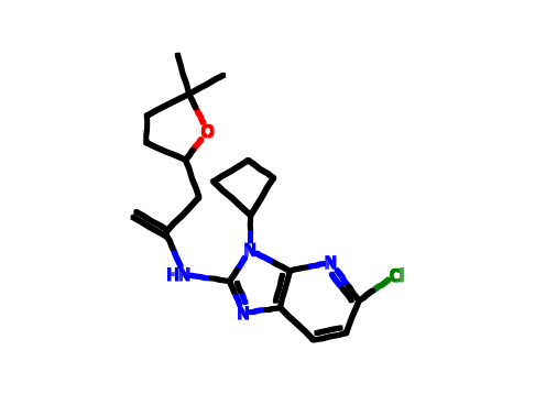 C=C(CC1CCC(C)(C)O1)Nc1nc2ccc(Cl)nc2n1C1CCC1